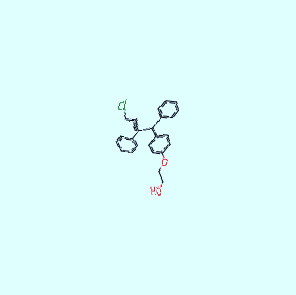 OCCOc1ccc(C(/C(=C/CCl)c2ccccc2)c2ccccc2)cc1